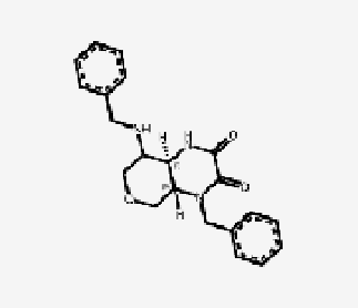 O=C1N[C@@H]2C(NCc3ccccc3)COC[C@H]2N(Cc2ccccc2)C1=O